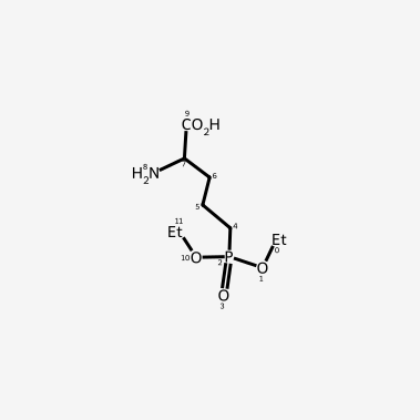 CCOP(=O)(CCCC(N)C(=O)O)OCC